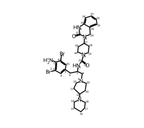 Nc1c(Br)cc(CC(CN2CCC(N3CCCCC3)CC2)NC(=O)N2CCC(N3Cc4ccccc4NC3=O)CC2)cc1Br